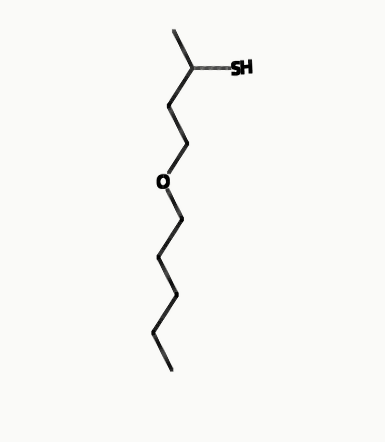 CCCCCOCCC(C)S